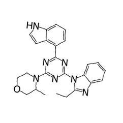 CCc1nc2ccccc2n1-c1nc(-c2cccc3[nH]ccc23)nc(N2CCOCC2C)n1